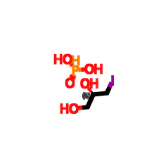 O=[PH](O)O.OC[C@H](O)CI